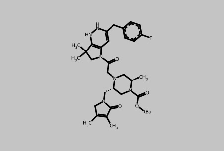 CC1=C(C)C(=O)N(C[C@H]2CN(C(=O)OC(C)(C)C)[C@H](C)CN2CC(=O)N2CC(C)(C)C3=C2C=C(Cc2ccc(F)cc2)NN3)C1